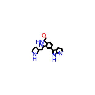 O=CC1NN=C(CC2CCCNC2)c2cc(-c3c[nH]c4ncccc34)ccc21